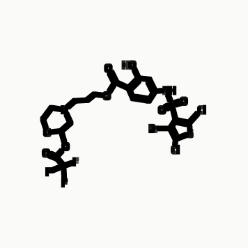 O=C(OCCCN1CCOC(OC(=O)C(F)(F)F)C1)c1ccc(NS(=O)(=O)c2c(Cl)sc(Cl)c2Br)cc1O